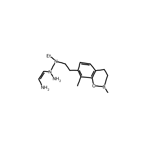 CCN(CCc1ccc2c(c1C)OB(C)CC2)N(N)/C=C\N